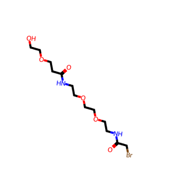 O=C(CBr)NCCOCCOCCNC(=O)CCOCCO